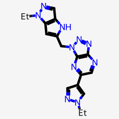 CCn1cc(-c2cnc3nnn(Cc4cc5c(cnn5CC)[nH]4)c3n2)cn1